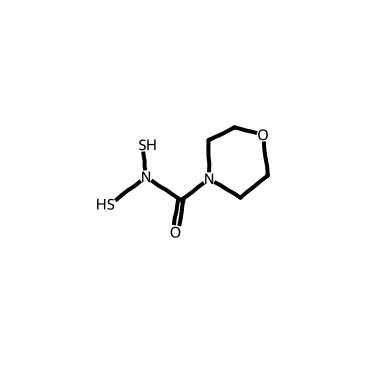 O=C(N(S)S)N1CCOCC1